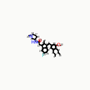 CCCc1cc(/C=C2/C(C)=C(CC(=O)NC3CCCN(C)C3)c3cc(F)ccc32)cc(OC)c1CCC